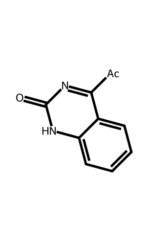 CC(=O)c1nc(=O)[nH]c2ccccc12